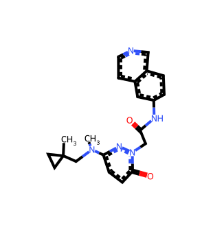 CN(CC1(C)CC1)c1ccc(=O)n(CC(=O)Nc2ccc3cnccc3c2)n1